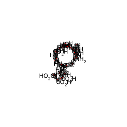 CC1C[C@@H]2NC(=O)CNC(=O)[C@H](CC(=O)O)NC(=O)C3CCCN3C(=O)CNC(=O)C(NC(=O)C(CCC(N)=O)NC(=O)CN3CCN(CC(=O)O)CCN(CC(=O)O)CCN(CC(=O)O)CC3)CSCc3cccc(c3)CSCC(C(N)=O)NC(=O)[C@H](CO)NC(=O)[C@H](Cc3c[nH]c4ccccc34)NC(=O)C([C@@H](C)O)N1C2=O